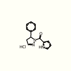 Cl.O=C(c1ccc[nH]1)N1N=CCC1c1ccccc1